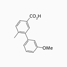 COc1cccc(-c2cc(C(=O)O)ccc2C)c1